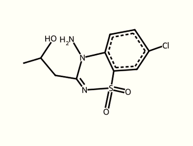 CC(O)CC1=NS(=O)(=O)c2cc(Cl)ccc2N1N